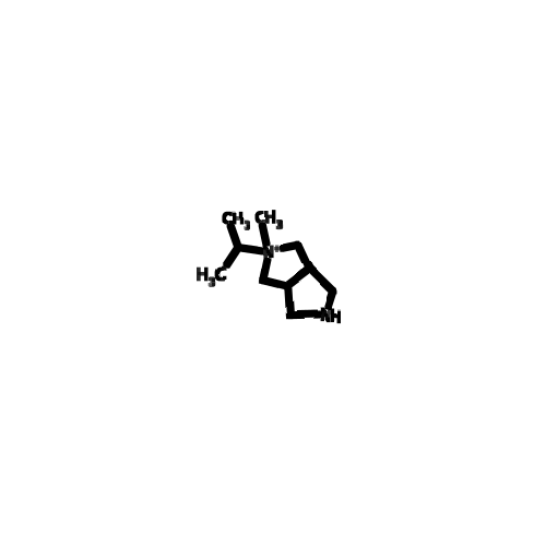 CC(C)[N+]1(C)CC2CNCC2C1